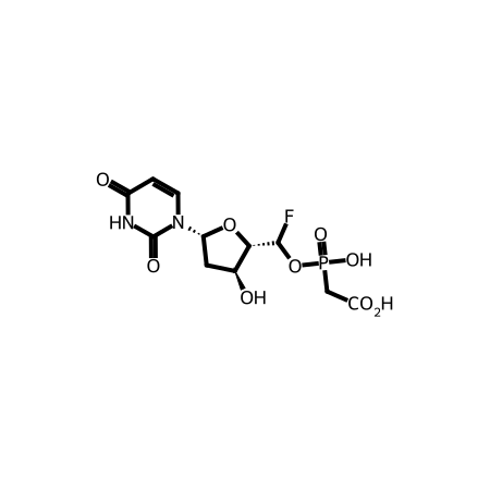 O=C(O)CP(=O)(O)OC(F)[C@H]1O[C@@H](n2ccc(=O)[nH]c2=O)C[C@@H]1O